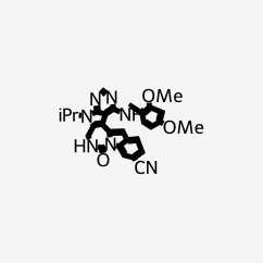 COc1ccc(CNc2ncnc3c2c2c(n3C(C)C)CNC(=O)n3c-2cc2ccc(C#N)cc23)c(OC)c1